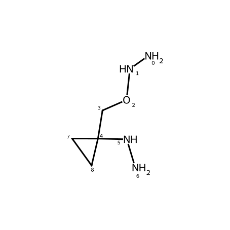 NNOCC1(NN)CC1